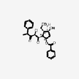 CC(C(=O)C(Cl)C(Cl)[C@H]1[C@@H](CC(=O)O)[C@@H](O)C[C@H]1OC(=O)c1ccccc1)c1ccccc1